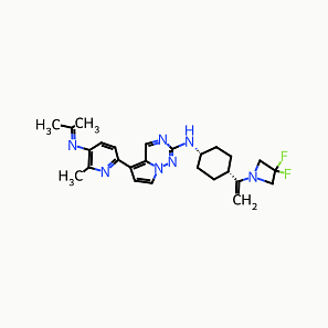 C=C([C@H]1CC[C@@H](Nc2ncc3c(-c4ccc(N=C(C)C)c(C)n4)ccn3n2)CC1)N1CC(F)(F)C1